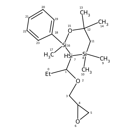 CCC(OCC1CO1)[SiH]1[Si](C)(C)CC(C)(C)O[Si]1(C)c1ccccc1